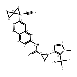 Cn1ncc([C@@H]2C[C@H]2C(=O)Nc2cc3cc([C@@]4(C#N)CC45CC5)ccc3cn2)c1C(F)(F)F